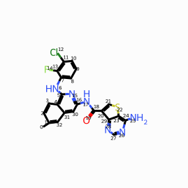 Cc1ccc2c(Nc3cccc(Cl)c3F)nc(NC(=O)c3csc4c(N)ncnc34)cc2c1